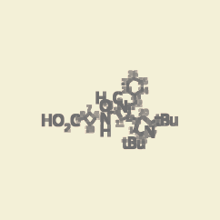 Cn1c(C(=O)N[C@H]2C[C@H](C(=O)O)C2)cc(-c2cc(C(C)(C)C)nc(C(C)(C)C)c2)c1CC1CCCCC1